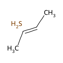 CC=CC.S